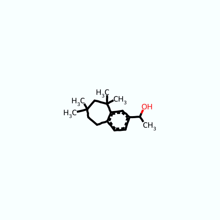 CC(O)c1ccc2c(c1)C(C)(C)CC(C)(C)CC2